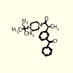 CC(C(=O)N1CCN(C(C)(C)C)CC1)c1cccc(C(=O)c2ccccc2)c1